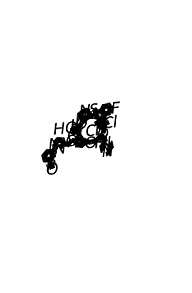 Cc1c(Cl)c2c(Cl)c(C)c1-c1c(-c3ccc(F)cc3)sc3ncnc(c13)O[C@@H](C(=O)O)Cc1cc(ccc1OCc1ccnc(-c3cccc(P(C)(C)=O)c3)n1)OC[C@@H](CN1CCN(C)CC1)O2